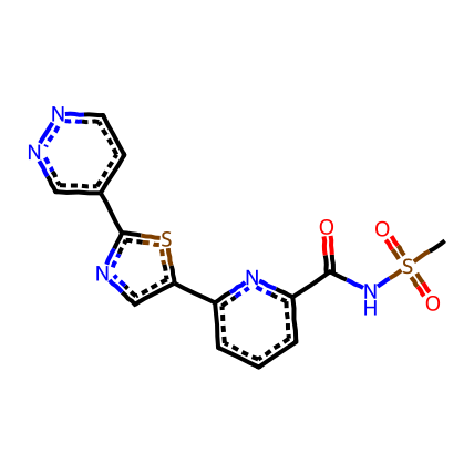 CS(=O)(=O)NC(=O)c1cccc(-c2cnc(-c3ccnnc3)s2)n1